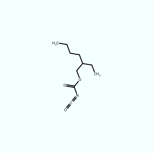 CCCCC(CC)COC(=O)N=C=O